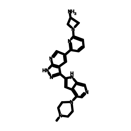 CN1CCN(c2cncc3[nH]c(-c4n[nH]c5ncc(-c6cccc(N7CC(N)C7)n6)cc45)cc23)CC1